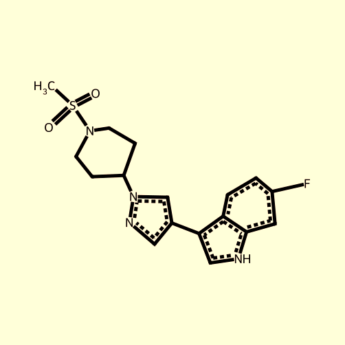 CS(=O)(=O)N1CCC(n2cc(-c3c[nH]c4cc(F)ccc34)cn2)CC1